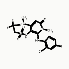 COc1cc(=O)n(C)c(Nc2ccc(I)cc2Cl)c1NS(=O)(=O)CC(F)(F)F